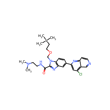 CN(C)CCNC(=O)c1nc2cc(-c3cc(Cl)c4cnccc4n3)ccc2n1COCC[Si](C)(C)C